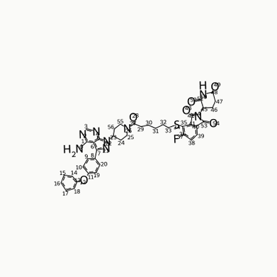 Nc1ncnc2c1c(-c1ccc(Oc3ccccc3)cc1)nn2C1CCN(C(=O)CCCCCSc2c(F)ccc3c2C(=O)N(C2CCC(=O)NC2=O)C3=O)CC1